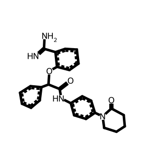 N=C(N)c1ccccc1OC(C(=O)Nc1ccc(N2CCCCC2=O)cc1)c1ccccc1